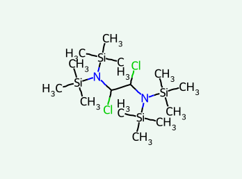 C[Si](C)(C)N(C(Cl)C(Cl)N([Si](C)(C)C)[Si](C)(C)C)[Si](C)(C)C